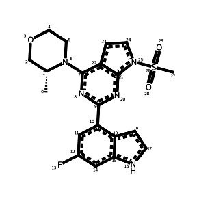 C[C@@H]1COCCN1c1nc(-c2cc(F)cc3[nH]ccc23)nc2c1ccn2S(C)(=O)=O